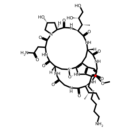 CC[C@H](C)[C@@H]1NC(=O)CNC(=O)[C@@H]2Cc3c([nH]c4c(CSCCCCN)c(OC)ccc34)[S+]([O-])C[C@H](NC(=O)CNC1=O)C(=O)NC(CC(N)=O)C(=O)N1C[C@H](O)C[C@H]1C(=O)N[C@@H]([C@@H](C)[C@H](O)CO)C(=O)N2